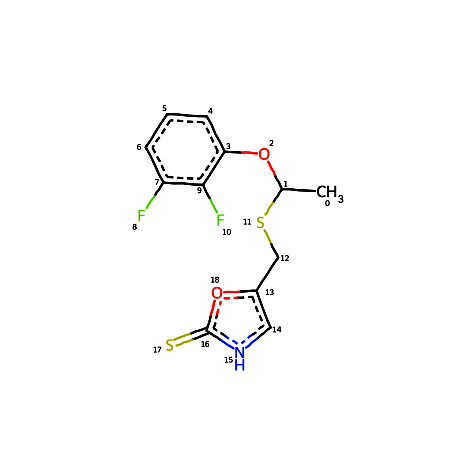 CC(Oc1cccc(F)c1F)SCc1c[nH]c(=S)o1